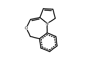 C1=CC2=COCc3ccccc3N2C1